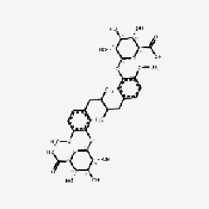 COc1ccc(CC(C)C(C)Cc2ccc(OC)c(O[C@@H]3O[C@H](C(=O)O)[C@@H](O)[C@H](O)[C@H]3O)c2)cc1O[C@@H]1O[C@H](C(=O)O)[C@@H](O)[C@H](O)[C@H]1O